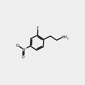 NCCc1ccc([N+](=O)[O-])cc1F